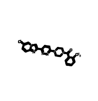 O=C(c1ccccc1C(F)(F)F)N1CCN(c2ccc(-c3cn4cc(Cl)ccc4n3)nn2)CC1